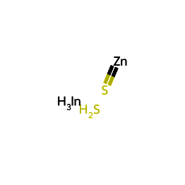 S.[InH3].[S]=[Zn]